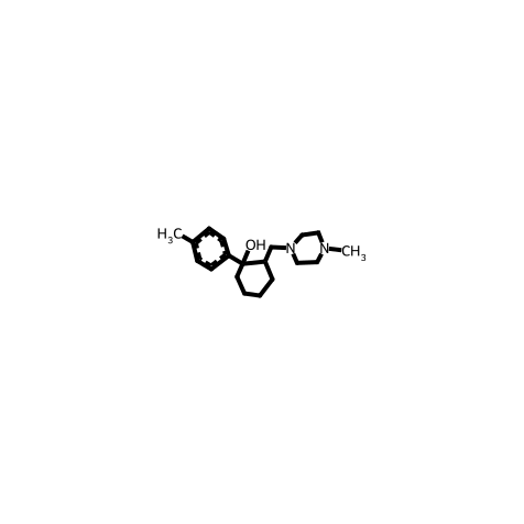 Cc1ccc(C2(O)CCCCC2CN2CCN(C)CC2)cc1